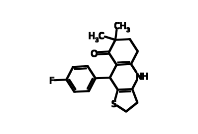 CC1(C)CCC2=C(C1=O)C(c1ccc(F)cc1)C1=C(CCS1)N2